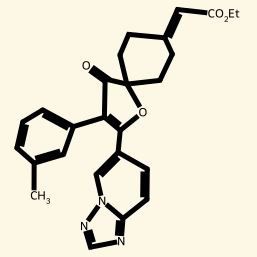 CCOC(=O)C=C1CCC2(CC1)OC(c1ccc3ncnn3c1)=C(c1cccc(C)c1)C2=O